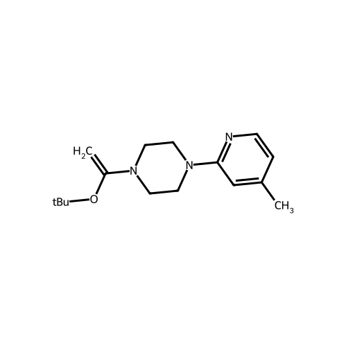 C=C(OC(C)(C)C)N1CCN(c2cc(C)ccn2)CC1